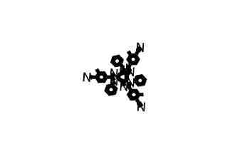 Cc1cc(-c2nc3c(c4nc(-c5ccc(C#N)c(C)c5)n(-c5ccccc5)c4c4nc(-c5ccc(C#N)c(C)c5)n(-c5ccccc5)c34)n2-c2ccccc2)ccc1C#N